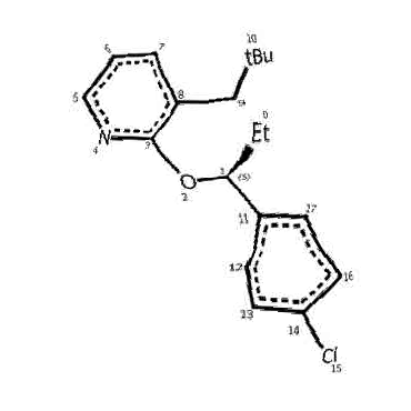 CC[C@H](Oc1ncccc1CC(C)(C)C)c1ccc(Cl)cc1